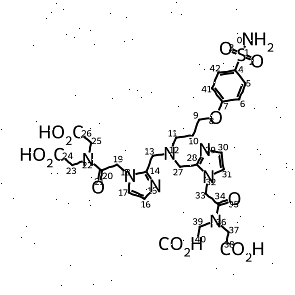 NS(=O)(=O)c1ccc(OCCCN(Cc2nccn2CC(=O)N(CC(=O)O)CC(=O)O)Cc2nccn2CC(=O)N(CC(=O)O)CC(=O)O)cc1